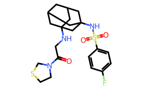 O=C(CNC12CC3CC(C1)CC(NS(=O)(=O)c1ccc(F)cc1)(C3)C2)N1CCSC1